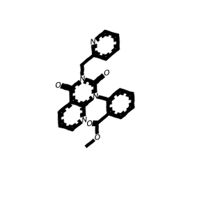 COC(=O)c1ccccc1-n1c(=O)n(Cc2ccccn2)c(=O)c2cccnc21